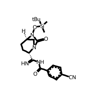 CC(C)(C)[Si](C)(C)ON1C(=O)N2C[C@H]1CC[C@H]2C(=N)NC(=O)c1ccc(C#N)cc1